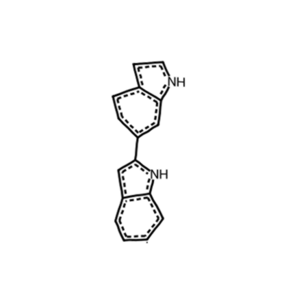 [c]1ccc2cc(-c3ccc4cc[nH]c4c3)[nH]c2c1